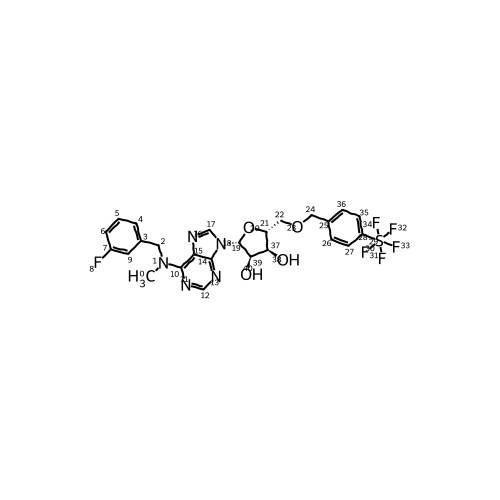 CN(Cc1cccc(F)c1)c1ncnc2c1ncn2[C@@H]1O[C@H](COCc2ccc(S(F)(F)(F)(F)F)cc2)[C@@H](O)[C@H]1O